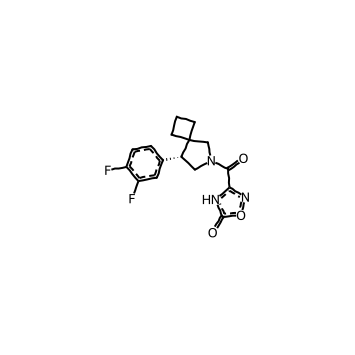 O=C(c1noc(=O)[nH]1)N1C[C@H](c2ccc(F)c(F)c2)C2(CCC2)C1